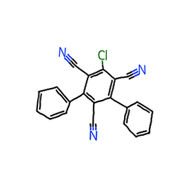 N#Cc1c(Cl)c(C#N)c(-c2ccccc2)c(C#N)c1-c1ccccc1